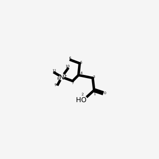 C=C(O)CC(CC)C[N+](C)(C)C